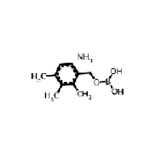 Cc1ccc(COB(O)O)c(C)c1C.N